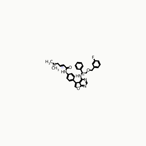 CN(C)C/C=C/C(=O)Nc1ccc(-c2coc3ncnc(N[C@H](COCc4cccc(F)c4)c4ccccc4)c23)cc1